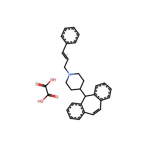 C1=Cc2ccccc2C(C2CCN(C/C=C/c3ccccc3)CC2)c2ccccc21.O=C(O)C(=O)O